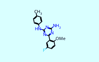 COc1ccc(F)cc1-c1nc(N)nc(Nc2ccc(C)cc2)n1